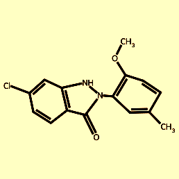 COc1ccc(C)cc1-n1[nH]c2cc(Cl)ccc2c1=O